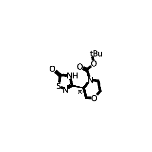 CC(C)(C)OC(=O)N1CCOC[C@H]1c1nsc(=O)[nH]1